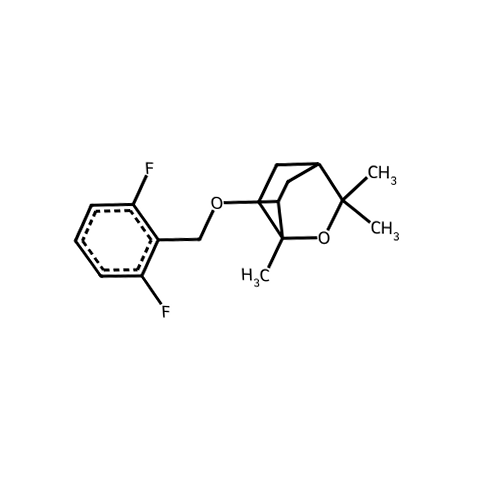 CC1(C)OC2(C)CCC1CC2OCc1c(F)cccc1F